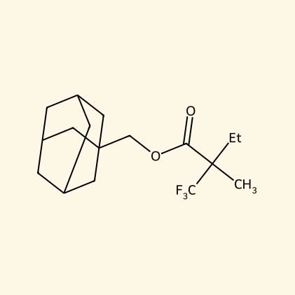 CCC(C)(C(=O)OCC12CC3CC(CC(C3)C1)C2)C(F)(F)F